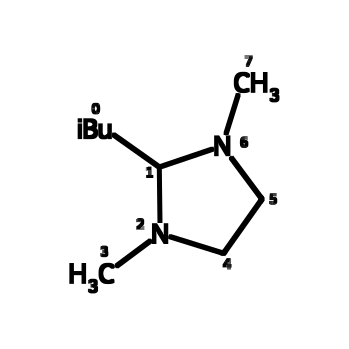 CCC(C)C1N(C)CCN1C